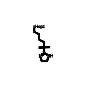 CCCCCCCCCCCC(C)(C)C1=NCCN1